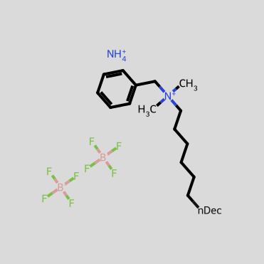 CCCCCCCCCCCCCCCC[N+](C)(C)Cc1ccccc1.F[B-](F)(F)F.F[B-](F)(F)F.[NH4+]